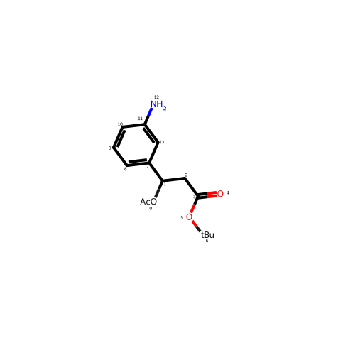 CC(=O)OC(CC(=O)OC(C)(C)C)c1cccc(N)c1